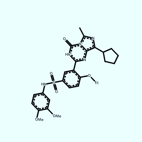 CCOc1ccc(S(=O)(=O)Nc2ccc(OC)c(OC)c2)cc1-c1nc2c(C3CCCC3)nc(C)n2c(=O)[nH]1